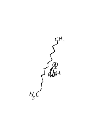 CCCCCCCCCCCCCCC.N=C=O.N=C=O